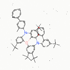 Cc1cc(-c2ccccc2)ccc1N1c2ccc(C(C)(C)C)cc2B2c3cc4c(cc3N(c3ccc(C(C)(C)C)cc3-c3ccccc3)c3cc(C(C)(C)C)cc1c32)C(C)(C)CC4(C)C